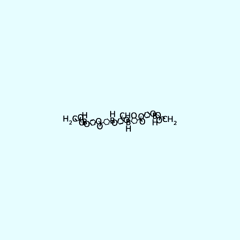 C=CC(=O)OBOc1ccc(OC(=O)C2CCC(BOc3ccc(OBC4CCC(C(=O)Oc5ccc(OBOC(=O)C=C)cc5)CC4)c(C=O)c3)CC2)cc1